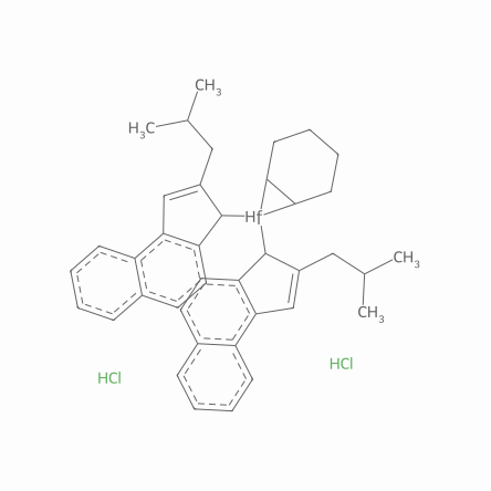 CC(C)CC1=Cc2c(ccc3ccccc23)[CH]1[Hf]1([CH]2C(CC(C)C)=Cc3c2ccc2ccccc32)[CH]2CCCC[CH]21.Cl.Cl